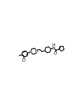 Cc1ccc(N2CCN(CCC3CCC(NC(=O)C4=CCCC4)CC3)CC2)cc1Cl